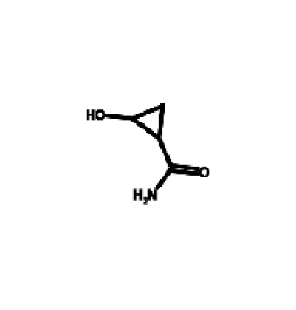 NC(=O)C1CC1O